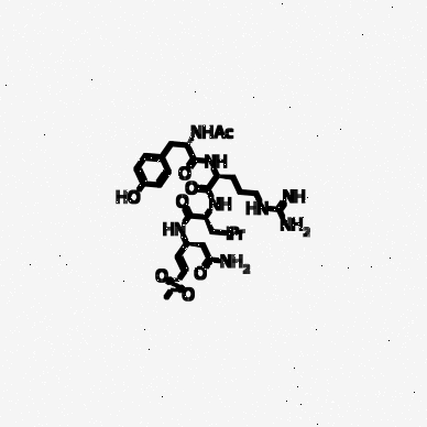 CC(=O)N[C@@H](Cc1ccc(O)cc1)C(=O)N[C@@H](CCCNC(=N)N)C(=O)N[C@@H](CC(C)C)C(=O)N[C@H](/C=C/S(C)(=O)=O)CC(N)=O